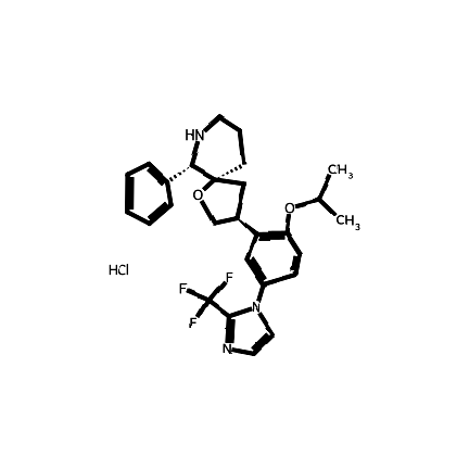 CC(C)Oc1ccc(-n2ccnc2C(F)(F)F)cc1[C@H]1CO[C@]2(CCCN[C@H]2c2ccccc2)C1.Cl